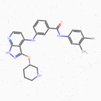 Cc1cc(NC(=O)c2cccc(Nc3ccnc4[nH]nc(O[C@@H]5CCCNC5)c34)c2)ccc1C(C)C